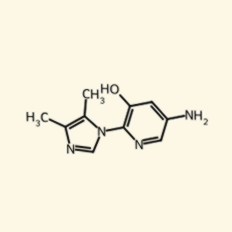 Cc1ncn(-c2ncc(N)cc2O)c1C